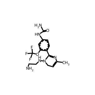 CC1=CCN(NCCN)C(c2ccc(NC(N)=O)cc2OC(F)(F)F)=N1